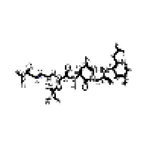 CC(C)Cc1ncc(F)c2nc(Cn3cc(F)cc(NC(=O)[C@H](CC/C=C/C(=O)N(C)C)OC(=O)N(C)C)c3=O)[nH]c12